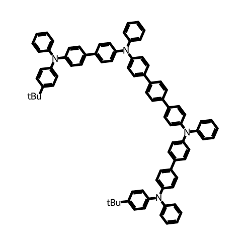 CC(C)(C)c1ccc(N(c2ccccc2)c2ccc(-c3ccc(N(c4ccccc4)c4ccc(-c5ccc(-c6ccc(N(c7ccccc7)c7ccc(-c8ccc(N(c9ccccc9)c9ccc(C(C)(C)C)cc9)cc8)cc7)cc6)cc5)cc4)cc3)cc2)cc1